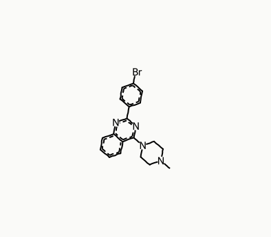 CN1CCN(c2nc(-c3ccc(Br)cc3)nc3ccccc23)CC1